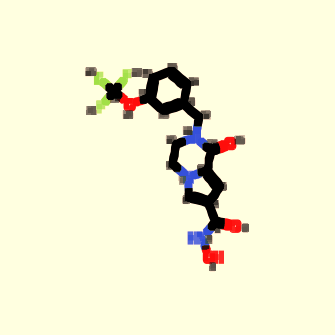 O=C(NO)c1cc2n(c1)CCN(Cc1cccc(OC(F)(F)F)c1)C2=O